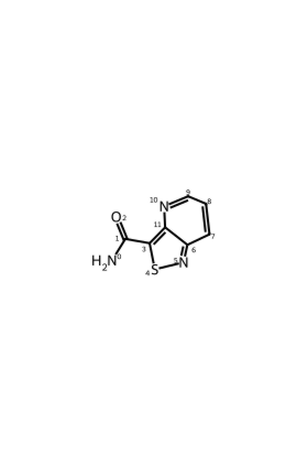 NC(=O)c1snc2cccnc12